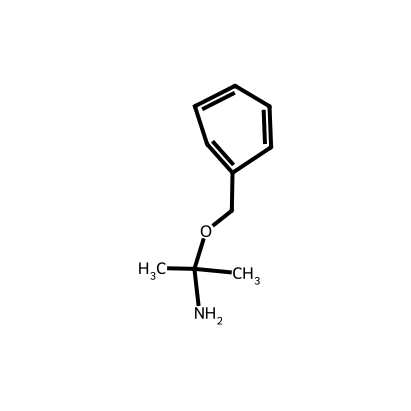 CC(C)(N)OCc1ccccc1